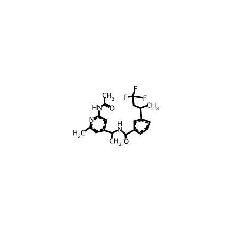 CC(=O)Nc1cc(C(C)NC(=O)c2cccc(C(C)CC(F)(F)F)c2)cc(C)n1